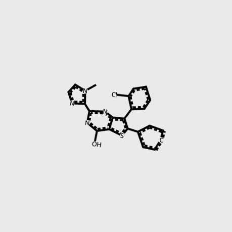 Cn1ccnc1-c1nc(O)c2sc(-c3ccccc3)c(-c3ccccc3Cl)c2n1